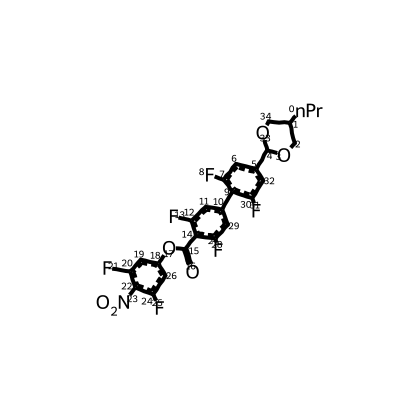 CCCC1COC(c2cc(F)c(-c3cc(F)c(C(=O)Oc4cc(F)c([N+](=O)[O-])c(F)c4)c(F)c3)c(F)c2)OC1